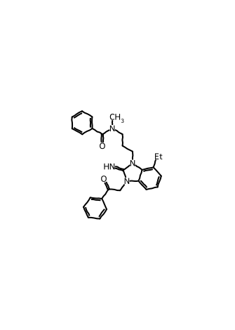 CCc1cccc2c1n(CCCN(C)C(=O)c1ccccc1)c(=N)n2CC(=O)c1ccccc1